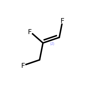 F/C=C(\F)CF